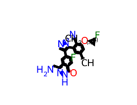 C#Cc1cc(O[C@H]2C[C@@H]2F)c(C#N)c(-c2c(-c3ccc4c(=O)[nH]nc(CN)c4c3)cnn2C)c1F